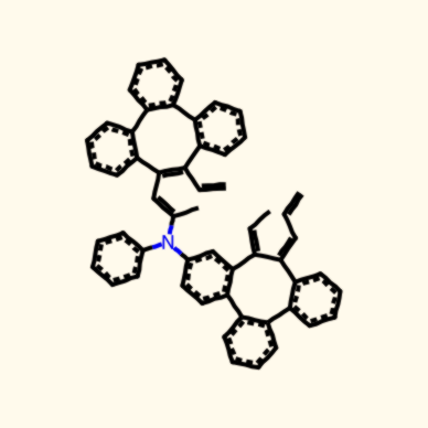 C=C/C=C1\C(=C/C)c2cc(N(/C(C)=C/C3=C(\C=C)c4ccccc4-c4ccccc4-c4ccccc43)c3ccccc3)ccc2-c2ccccc2-c2ccccc21